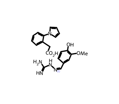 COc1cc(/C=N\NC(=N)N)ccc1O.O=C(O)Cc1ccccc1-n1cccc1